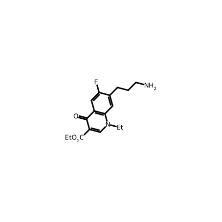 CCOC(=O)c1cn(CC)c2cc(CCCN)c(F)cc2c1=O